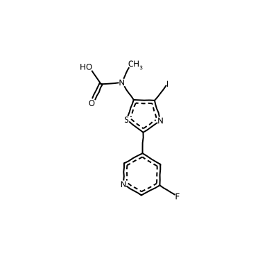 CN(C(=O)O)c1sc(-c2cncc(F)c2)nc1I